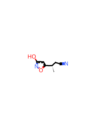 C[C@@H](CC#N)c1cc(O)no1